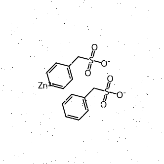 O=S(=O)([O-])Cc1ccccc1.O=S(=O)([O-])Cc1ccccc1.[Zn+2]